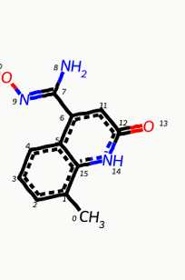 Cc1cccc2c(C(N)=NO)cc(=O)[nH]c12